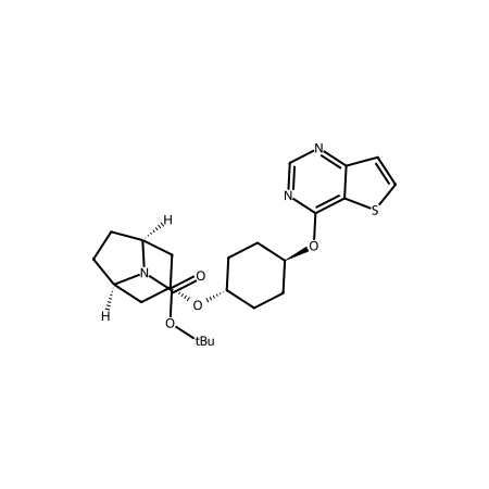 CC(C)(C)OC(=O)N1[C@@H]2CC[C@H]1C[C@H](O[C@H]1CC[C@H](Oc3ncnc4ccsc34)CC1)C2